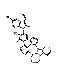 C/C=C\C1=C(C)N2c3ccccc3-c3c(-c4ccc(-n5c(C)c(/C=C\C)c6cc(C#N)ccc65)c(C#N)c4C)cccc3C3CCCCC1C32